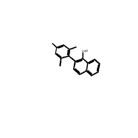 Cc1cc(C)c(-c2ccc3ccccc3c2C=O)c(C)c1